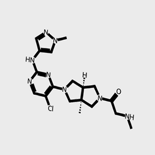 CNCC(=O)N1C[C@@H]2CN(c3nc(Nc4cnn(C)c4)ncc3Cl)C[C@]2(C)C1